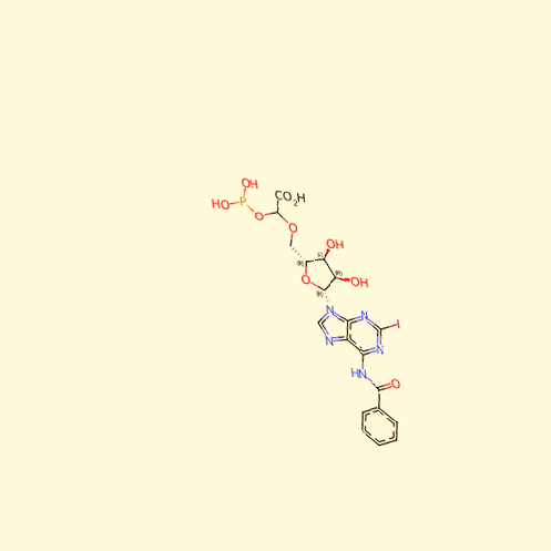 O=C(Nc1nc(I)nc2c1ncn2[C@@H]1O[C@H](COC(OP(O)O)C(=O)O)[C@@H](O)[C@H]1O)c1ccccc1